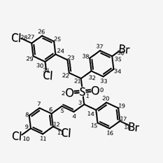 O=S(=O)(C(C=Cc1ccc(Cl)cc1Cl)c1ccc(Br)cc1)C(C=Cc1ccc(Cl)cc1Cl)c1ccc(Br)cc1